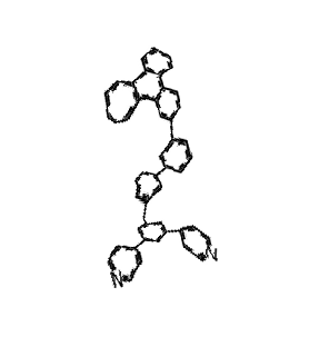 c1cc(-c2cccc(-c3ccc4c5ccccc5c5ccccc5c4c3)c2)cc(-c2cc(-c3ccncc3)cc(-c3ccncc3)c2)c1